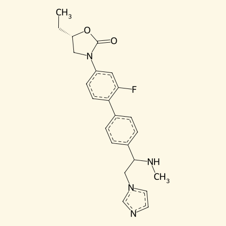 CC[C@H]1CN(c2ccc(-c3ccc(C(Cn4ccnc4)NC)cc3)c(F)c2)C(=O)O1